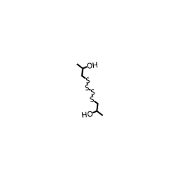 CC(O)CSSSSCC(C)O